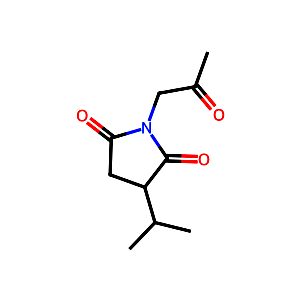 CC(=O)CN1C(=O)CC(C(C)C)C1=O